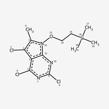 Cc1c(Cl)c2c(Cl)nc(Cl)nc2n1OCC[Si](C)(C)C